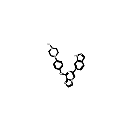 CC(C)N1CCN(c2ccc(Nc3nc(-c4ccc5cn[nH]c5c4)cn4ccnc34)cc2)CC1